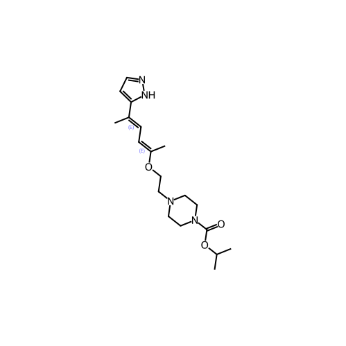 C/C(=C\C=C(/C)c1ccn[nH]1)OCCN1CCN(C(=O)OC(C)C)CC1